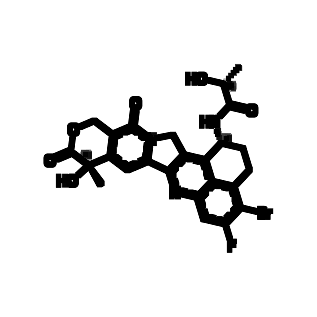 C[C@@H](O)C(=O)N[C@@H]1CCc2c(Br)c(F)cc3nc4c(c1c23)Cn1c-4cc2c(c1=O)COC(=O)[C@@]2(C)O